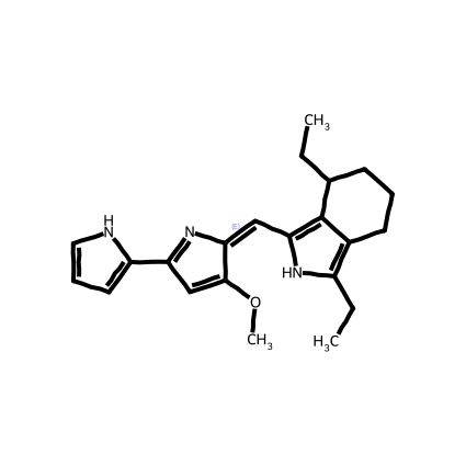 CCc1[nH]c(/C=C2/N=C(c3ccc[nH]3)C=C2OC)c2c1CCCC2CC